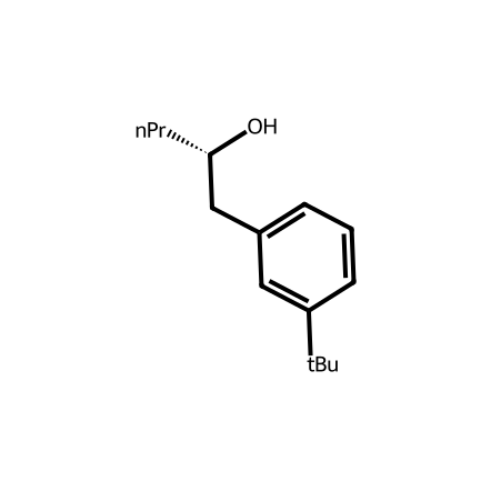 CCC[C@H](O)Cc1cccc(C(C)(C)C)c1